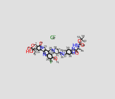 CC[C@@]1(O)C(=O)OCc2c1cc1n(c2=O)Cc2c-1nc1cc(F)c(OC)cc1c2CN1CCC([N+](C)(C)Cc2ccc(NC(=O)C(C)NC(=O)OC(C)(C)C)cc2)CC1.[Cl-]